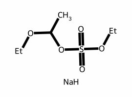 CCOC(C)OS(=O)(=O)OCC.[NaH]